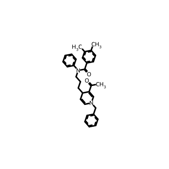 CC(=O)C1=CN(Cc2ccccc2)C=CC1CCCN(C(=O)c1ccc(C)c(C)c1)c1ccccc1